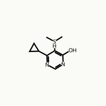 C[SH](C)c1c(O)ncnc1C1CC1